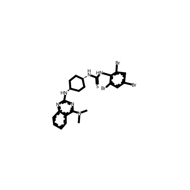 CN(C)c1nc(N[C@H]2CC[C@@H](NC(=S)Nc3c(Br)cc(Br)cc3Br)CC2)nc2ccccc12